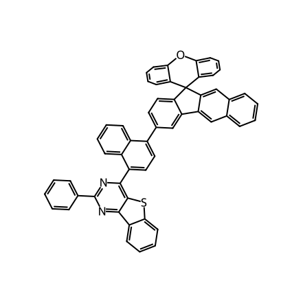 c1ccc(-c2nc(-c3ccc(-c4ccc5c(c4)-c4cc6ccccc6cc4C54c5ccccc5Oc5ccccc54)c4ccccc34)c3sc4ccccc4c3n2)cc1